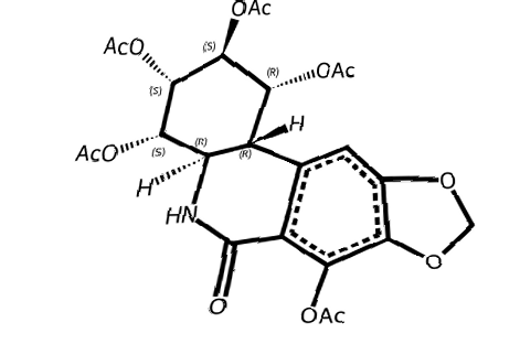 CC(=O)Oc1c2c(cc3c1C(=O)N[C@H]1[C@H](OC(C)=O)[C@H](OC(C)=O)[C@@H](OC(C)=O)[C@H](OC(C)=O)[C@H]31)OCO2